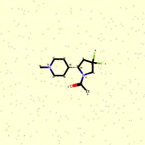 CCC(=O)N1CC(F)(F)C[C@H]1C1CCN(C)CC1